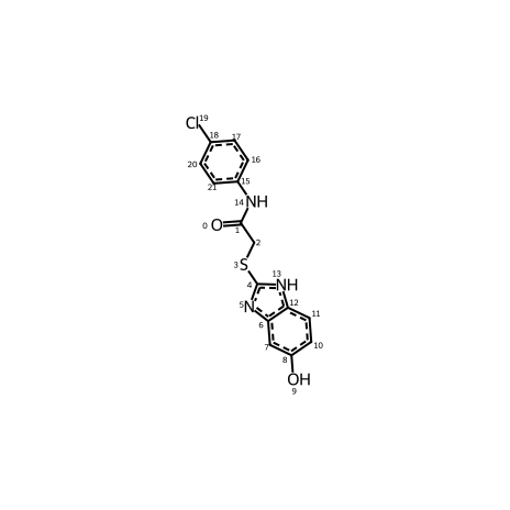 O=C(CSc1nc2cc(O)ccc2[nH]1)Nc1ccc(Cl)cc1